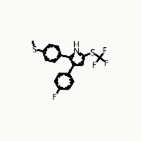 CSc1ccc(-c2[nH]c(SC(F)(F)F)cc2-c2ccc(F)cc2)cc1